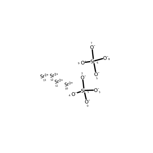 [O-][Si]([O-])([O-])[O-].[O-][Si]([O-])([O-])[O-].[Sr+2].[Sr+2].[Sr+2].[Sr+2]